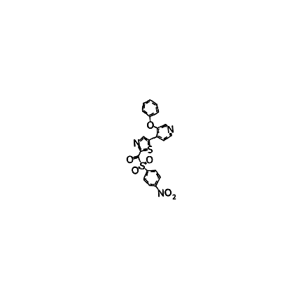 O=C(c1ncc(-c2ccncc2Oc2ccccc2)s1)S(=O)(=O)c1ccc([N+](=O)[O-])cc1